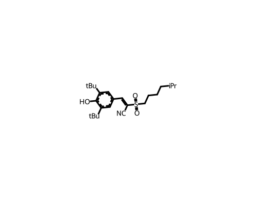 CC(C)CCCCS(=O)(=O)/C(C#N)=C/c1cc(C(C)(C)C)c(O)c(C(C)(C)C)c1